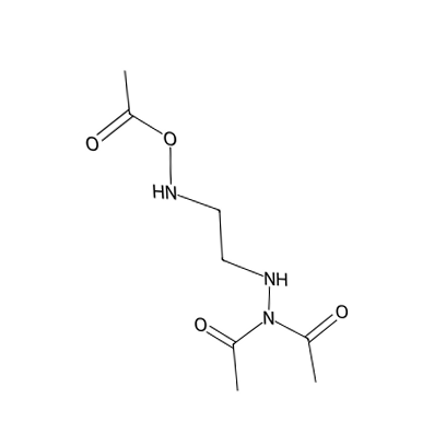 CC(=O)ONCCNN(C(C)=O)C(C)=O